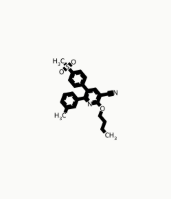 CCCCOc1nc(-c2cccc(C)c2)c(-c2ccc(S(C)(=O)=O)cc2)cc1C#N